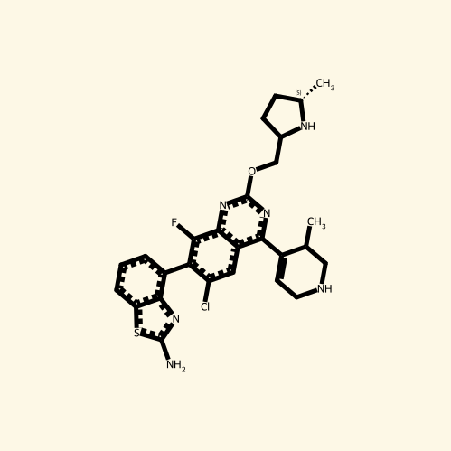 CC1CNCC=C1c1nc(OCC2CC[C@H](C)N2)nc2c(F)c(-c3cccc4sc(N)nc34)c(Cl)cc12